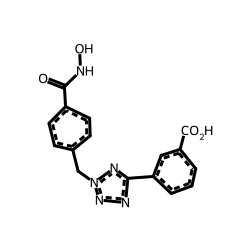 O=C(O)c1cccc(-c2nnn(Cc3ccc(C(=O)NO)cc3)n2)c1